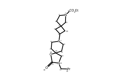 CCOC(=O)N1CCC2(CC(N3CCC4(CC3)CN(CC(C)C)C(=O)O4)C2)C1